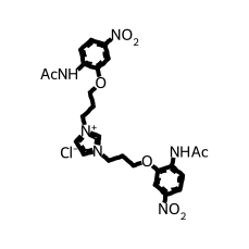 CC(=O)Nc1ccc([N+](=O)[O-])cc1OCCCn1cc[n+](CCCOc2cc([N+](=O)[O-])ccc2NC(C)=O)c1.[Cl-]